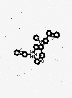 c1ccc(-c2nc(-c3ccc4c(c3)sc3ccccc34)nc(-c3cccc4oc5ccc(-c6ccc7c(c6)c6ccc(-c8cccc9c8sc8ccccc89)cc6n7-c6ccccc6)cc5c34)n2)cc1